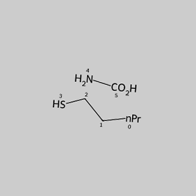 CCCCCS.NC(=O)O